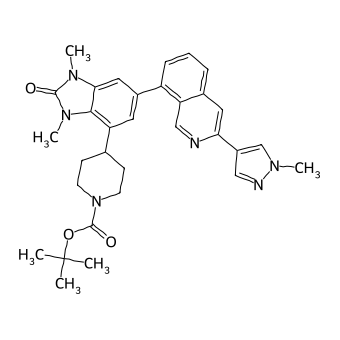 Cn1cc(-c2cc3cccc(-c4cc(C5CCN(C(=O)OC(C)(C)C)CC5)c5c(c4)n(C)c(=O)n5C)c3cn2)cn1